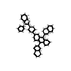 C1=Cc2ccc(-c3c4ccccc4c(C4=Cc5ccccc5CC4)c4cc(C5=CCC(c6nc7ccccc7n6-c6ccccc6)C=C5)ccc34)cc2CC1